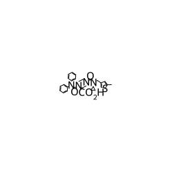 Cc1cc(CN(C(=O)N2CCN(C(=O)N(c3ccccc3)c3ccccc3)[C@H](C(=O)O)C2)C2CC2)cs1